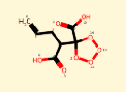 C=CCC(C(=O)O)C1(C(=O)O)OOOO1